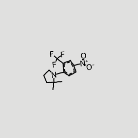 CC1(C)CCCN1c1ccc([N+](=O)[O-])cc1C(F)(F)F